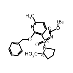 Cc1ccc([S@@](=O)(=NC(=O)OC(C)(C)C)N2CCC[C@H]2C(=O)O)c(OCc2ccccc2)n1